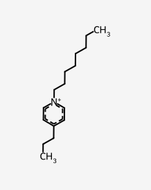 CCCCCCCC[n+]1ccc(CCC)cc1